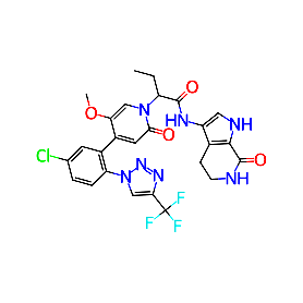 CCC(C(=O)Nc1c[nH]c2c1CCNC2=O)n1cc(OC)c(-c2cc(Cl)ccc2-n2cc(C(F)(F)F)nn2)cc1=O